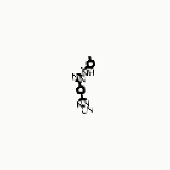 Cc1cccc([C@H](C)Nc2cncc(-c3ccc(-c4cnc(C#N)nc4)cc3)n2)c1